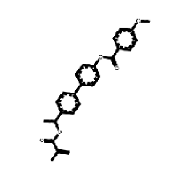 C=C(C)C(=O)OC(C)c1ccc(-c2ccc(OC(=O)c3ccc(OC)cc3)cc2)cc1